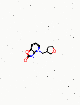 O=c1nc2n(CC3CCOC3)cccc-2o1